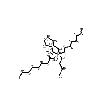 CCCCCCCCP(CCCC)(CCCC)(CCCC)OC(=O)CCCCCCC